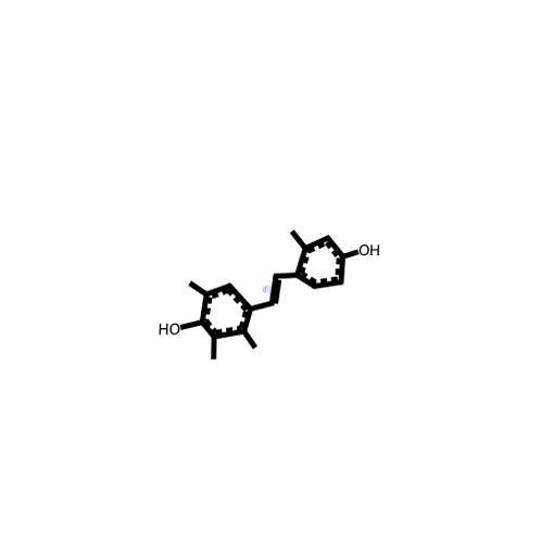 Cc1cc(O)ccc1/C=C/c1cc(C)c(O)c(C)c1C